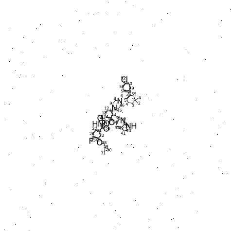 CC1(C)CCC(CN2CCN(c3ccc(S(=O)(=O)NC(=O)c4ccc(F)c(OCC5CC5)c4)c(Oc4cnc5[nH]ccc5c4)c3)CC2)=C(c2ccc(Cl)cc2)C1